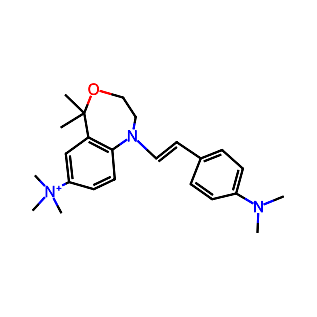 CN(C)c1ccc(C=CN2CCOC(C)(C)c3cc([N+](C)(C)C)ccc32)cc1